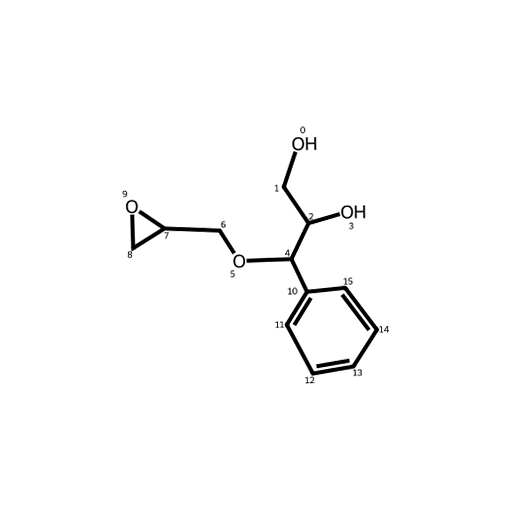 OCC(O)C(OCC1CO1)c1ccccc1